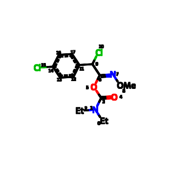 CCN(CC)C(=O)O/C(=N\OC)C(Cl)c1ccc(Cl)cc1